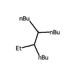 CCCC[C](CCCC)C(CC)CCCC